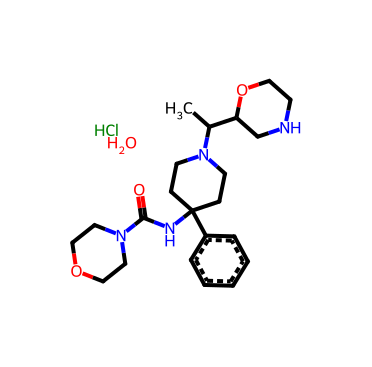 CC(C1CNCCO1)N1CCC(NC(=O)N2CCOCC2)(c2ccccc2)CC1.Cl.O